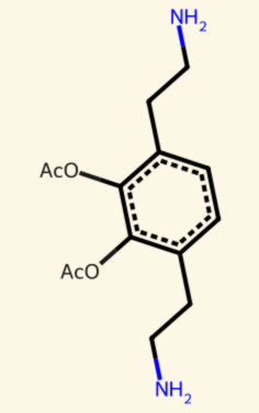 CC(=O)Oc1c(CCN)ccc(CCN)c1OC(C)=O